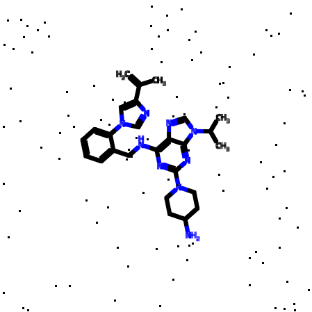 C=C(C)c1cn(-c2ccccc2CNc2nc(N3CCC(N)CC3)nc3c2ncn3C(C)C)cn1